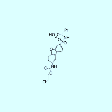 CC(C)[C@H](NS(=O)(=O)c1ccc2c(c1)oc1ccc(NC(=O)OCCCl)cc12)C(=O)O